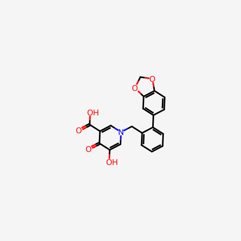 O=C(O)c1cn(Cc2ccccc2-c2ccc3c(c2)OCO3)cc(O)c1=O